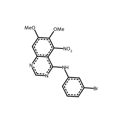 COc1cc2ncnc(Nc3cccc(Br)c3)c2c([N+](=O)[O-])c1OC